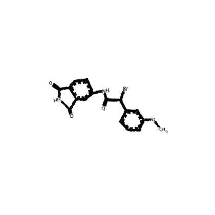 COc1cccc(C(Br)C(=O)Nc2ccc3c(c2)C(=O)NC3=O)c1